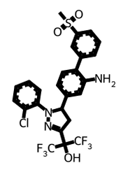 CS(=O)(=O)c1cccc(-c2ccc(C3CC(C(O)(C(F)(F)F)C(F)(F)F)=NN3c3ccccc3Cl)cc2N)c1